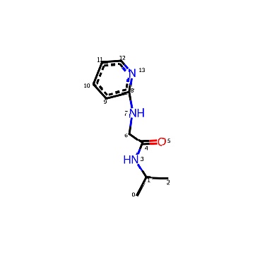 CC(C)NC(=O)CNc1ccccn1